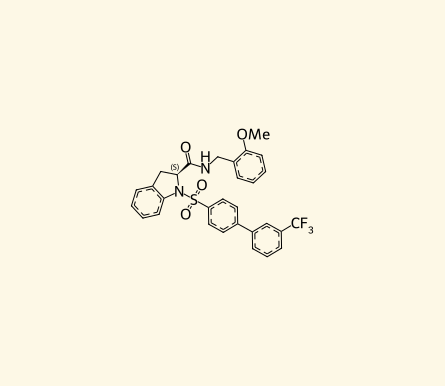 COc1ccccc1CNC(=O)[C@@H]1Cc2ccccc2N1S(=O)(=O)c1ccc(-c2cccc(C(F)(F)F)c2)cc1